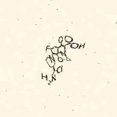 COc1c(N2CCCC(=C(Cl)CN)C2)c(F)cc2c(=O)c(C(=O)O)cn(C3CC3)c12